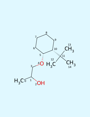 CC(O)CO[C@@H]1CCCC[C@@H]1C(C)(C)C